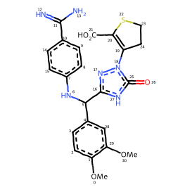 COc1ccc(C(Nc2ccc(C(=N)N)cc2)c2nn(C3=C(C(=O)O)SCC3)c(=O)[nH]2)cc1OC